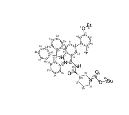 CCOc1ccc(F)c(-c2ccc3c(c2)c(NC(=O)[C@@H]2CCCN(C(=O)OC(C)(C)C)C2)nn3C(c2ccccc2)(c2ccccc2)c2ccccc2)c1